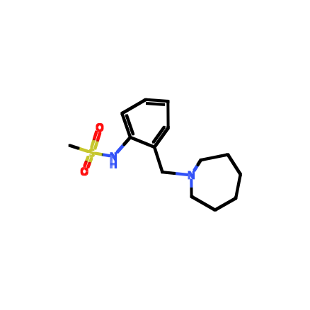 CS(=O)(=O)Nc1ccccc1CN1CCCCCC1